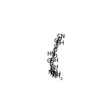 N#Cc1cccc(C(=O)NCCOCCOCCNC(=O)CCCNC(=O)c2ccc(NCc3cnc4nc(N)[nH]c(=O)c4n3)cc2)c1